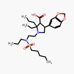 CCCCCS(=O)(=O)N(CCC)CCN1CC(c2ccc3c(c2)OCO3)C(C(=O)O)C1(CC)CCC